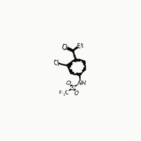 CCC(=O)c1ccc(NS(=O)(=O)C(F)(F)F)cc1Cl